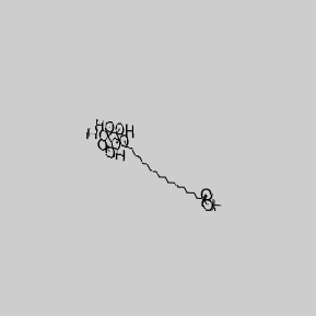 CC(C)(C)OC(=O)CCCCCCCCCCCCCCCCCO[C@@H]1O[C@H](C(=O)O)[C@@H](O)[C@H](O)[C@H]1O